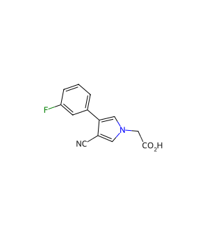 N#Cc1cn(CC(=O)O)cc1-c1cccc(F)c1